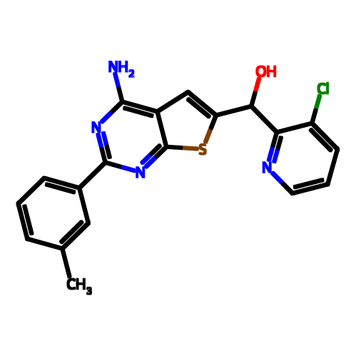 Cc1cccc(-c2nc(N)c3cc(C(O)c4ncccc4Cl)sc3n2)c1